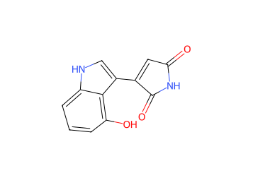 O=C1C=C(c2c[nH]c3cccc(O)c23)C(=O)N1